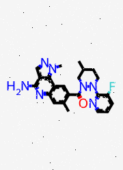 Cc1cc2nc(N)c3cnn(C)c3c2cc1C(=O)N1CC(C)CCN1c1ncccc1F